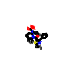 Cc1nc(-c2ccccc2)c(C(=O)N2C(C)CCCC2N(C)C(=O)O)s1